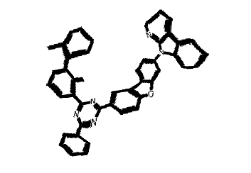 Cc1ccccc1-c1cccc(-c2nc(-c3ccccc3)nc(-c3ccc4oc5cc(-n6c7ccccc7c7cccnc76)ccc5c4c3)n2)c1C